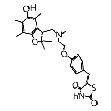 Cc1c(C)c2c(c(C)c1O)C(CN(C)CCOc1ccc(/C=C3/SC(=O)NC3=O)cc1)C(C)(C)O2